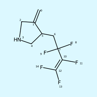 C=C1CNCC1CC(F)(F)C(F)=C(F)F